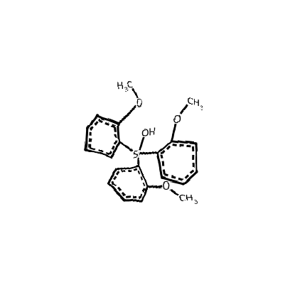 COc1ccccc1[Si](O)(c1ccccc1OC)c1ccccc1OC